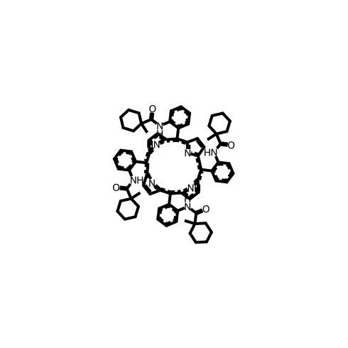 CC1(C(=O)Nc2ccccc2-c2c3nc(c(-c4ccccc4NC(=O)C4(C)CCCCC4)c4ccc([nH]4)c(-c4ccccc4NC(=O)C4(C)CCCCC4)c4nc(c(-c5ccccc5NC(=O)C5(C)CCCCC5)c5ccc2[nH]5)C=C4)C=C3)CCCCC1